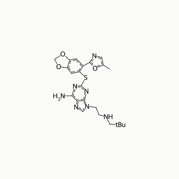 Cc1cnc(-c2cc3c(cc2Sc2nc(N)c4ncn(CCNCC(C)(C)C)c4n2)OCO3)o1